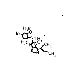 CC/C=C(\CC)c1nccc2nc(Nc3c(C)cc(Br)cc3OC)n(C)c12